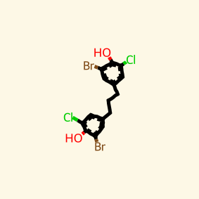 Oc1c(Cl)cc(CCCc2cc(Cl)c(O)c(Br)c2)cc1Br